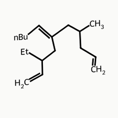 C=CCC(C)CC(=CCCCC)CC(C=C)CC